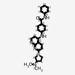 CN(C)C1CCN(c2ccc3c(Nc4ccc(C(=O)Nc5ccccc5)cc4)ccnc3n2)C1